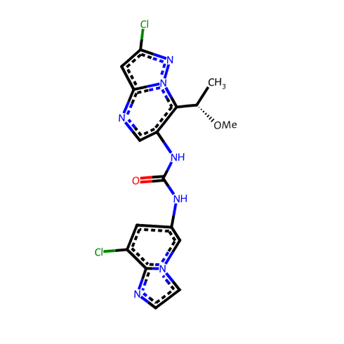 CO[C@@H](C)c1c(NC(=O)Nc2cc(Cl)c3nccn3c2)cnc2cc(Cl)nn12